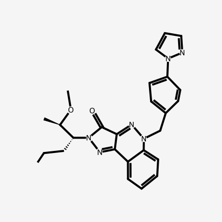 CCC[C@H]([C@@H](C)OC)n1nc2c3ccccc3n(Cc3ccc(-n4cccn4)cc3)nc-2c1=O